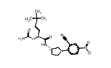 CC(C)(C)CC[C@H](OC(N)=O)C(=O)N[C@H]1CCN(c2ccc([N+](=O)[O-])cc2C#N)C1